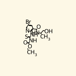 CCOC(=O)NC(=S)Nc1ncc(Br)cc1C(=O)NC(C)CO